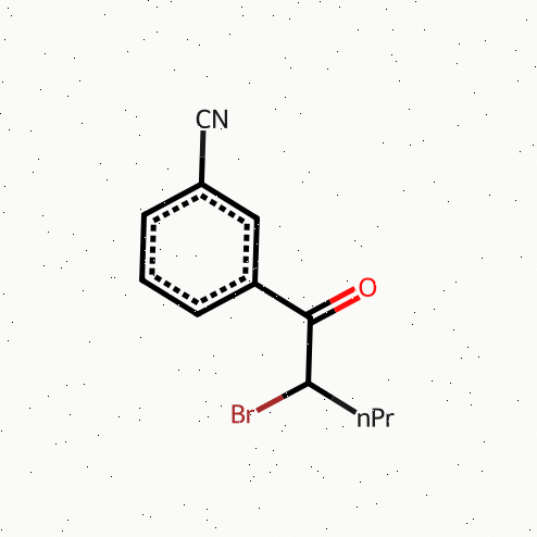 CCCC(Br)C(=O)c1cccc(C#N)c1